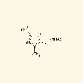 CCCc1nc(C)c(CNC(C)=O)o1